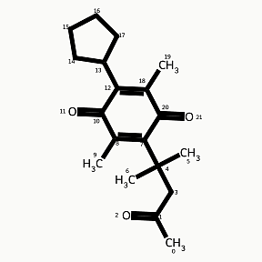 CC(=O)CC(C)(C)C1=C(C)C(=O)C(C2CCCC2)=C(C)C1=O